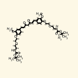 COc1cc(C=CC(=O)CC(=O)C=Cc2ccc(OCCOCCNC(=O)OC(C)(C)C)c(OC)c2)ccc1OCCOCCNC(=O)OC(C)(C)C